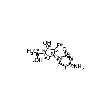 C[C@H](O)[C@H]1O[C@@H](n2ccc(N)nc2=O)C(F)C1O